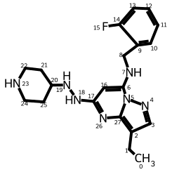 CCc1cnn2c(NCc3ccccc3F)cc(NNC3CCNCC3)nc12